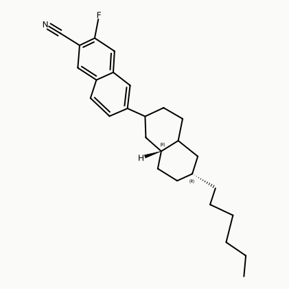 CCCCCC[C@@H]1CC[C@@H]2CC(c3ccc4cc(C#N)c(F)cc4c3)CCC2C1